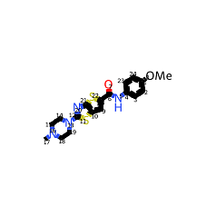 COc1ccc(NC(=O)c2cc3sc(N4CCN(C)CC4)nc3s2)cc1